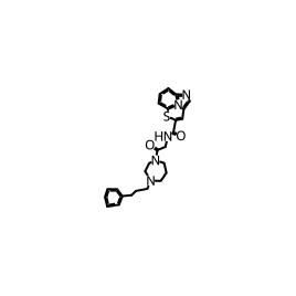 O=C(NCC(=O)N1CCCN(CCCc2ccccc2)CC1)C1=Cc2cnc3cccc(n23)S1